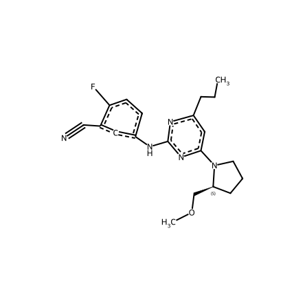 CCCc1cc(N2CCC[C@H]2COC)nc(Nc2ccc(F)c(C#N)c2)n1